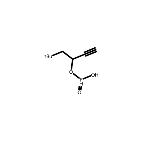 C#CC(CCCCC)O[PH](=O)O